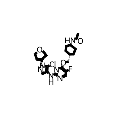 CC(=O)N[C@H]1CC[C@H](COc2nc(Nc3cnn(C4CCOCC4)c3Cl)ncc2F)CC1